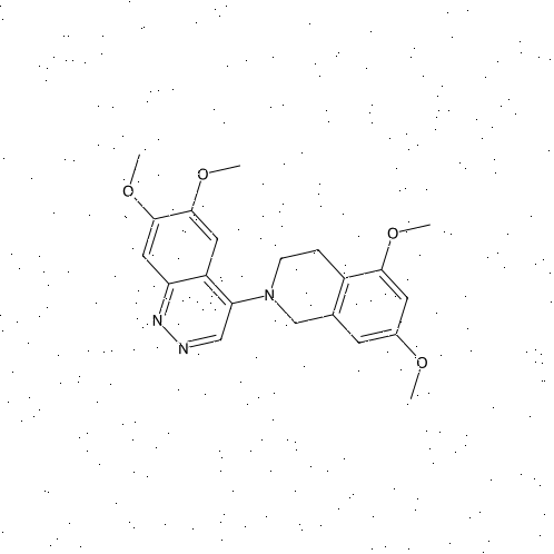 COc1cc2c(c(OC)c1)CCN(c1cnnc3cc(OC)c(OC)cc13)C2